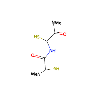 CNC(=O)C(S)NC(=O)C(S)NC